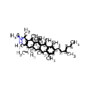 C=C(NC)C1=C(C)[C@@H](CC)[C@]2(C)C[C@]3(C)Cc4c(C)cc(CCC(C)CCC)c(C)c4C(=C)C3=C(C)[C@]2(C)C1=C